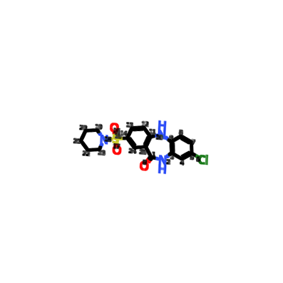 O=C1Nc2cc(Cl)ccc2Nc2ccc(S(=O)(=O)N3CCCCC3)cc21